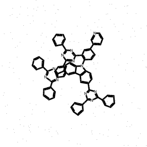 c1ccc(-c2nc(-c3ccccc3)nc(-c3ccc4c(c3)c3cc(-c5nc(-c6ccccc6)nc(-c6ccccc6)n5)ccc3n4-c3ccc(-c4cccnc4)cc3-c3nc(-c4ccccc4)nc(-c4ccccc4)n3)n2)cc1